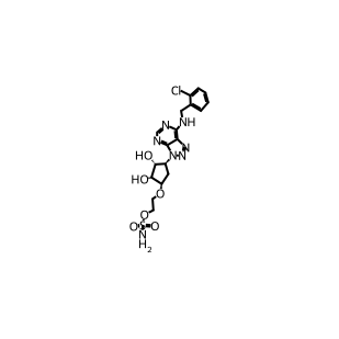 NS(=O)(=O)OCCO[C@@H]1C[C@H](n2nnc3c(NCc4ccccc4Cl)ncnc32)[C@@H](O)[C@H]1O